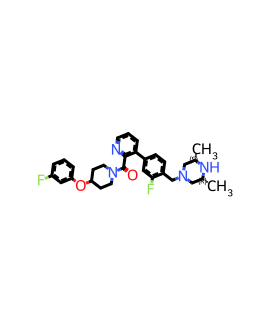 C[C@@H]1CN(Cc2ccc(-c3cccnc3C(=O)N3CCC(Oc4cccc(F)c4)CC3)cc2F)C[C@H](C)N1